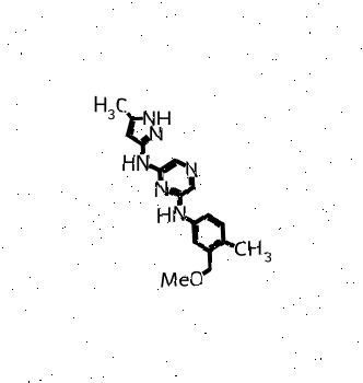 COCc1cc(Nc2cncc(Nc3cc(C)[nH]n3)n2)ccc1C